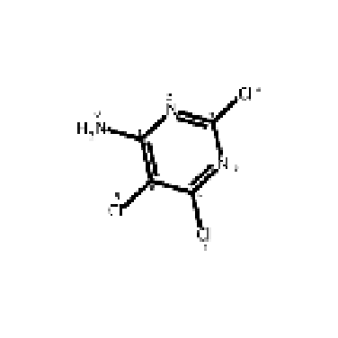 Nc1nc(Cl)nc(Cl)c1Cl